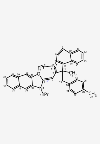 CCCN1/C(=C/C2=[N+](CCC)c3ccc4ccccc4c3C2(C)Cc2ccc(C)cc2)Oc2cc3ccccc3cc21